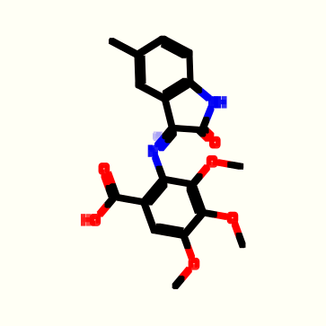 COc1cc(C(=O)O)c(/N=C2\C(=O)Nc3ccc(C)cc32)c(OC)c1OC